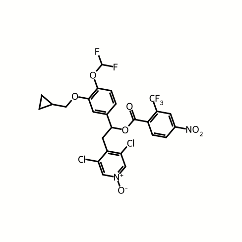 O=C(OC(Cc1c(Cl)c[n+]([O-])cc1Cl)c1ccc(OC(F)F)c(OCC2CC2)c1)c1ccc([N+](=O)[O-])cc1C(F)(F)F